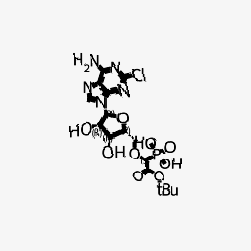 CC(C)(C)OC(=O)[C@@H](OC[C@H]1O[C@@H](n2cnc3c(N)nc(Cl)nc32)[C@H](O)[C@H]1O)P(=O)(O)O